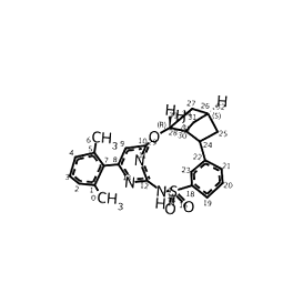 Cc1cccc(C)c1-c1cc2nc(n1)NS(=O)(=O)c1cccc(c1)C1C[C@@H]3C[C@@H](O2)[C@H]1C3